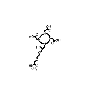 CNC(=O)COCCOCC(O)CN1CCN(CC(=O)O)CCN(CC(=O)O)CCN(CC(=O)O)CC1